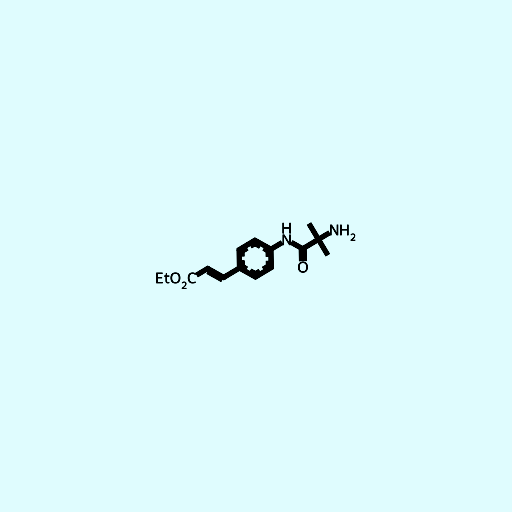 CCOC(=O)C=Cc1ccc(NC(=O)C(C)(C)N)cc1